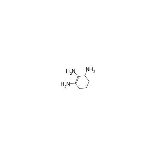 NC1=C(N)C(N)CCC1